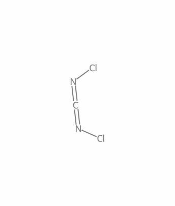 ClN=C=NCl